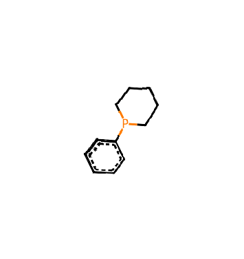 c1ccc(P2CCCCC2)cc1